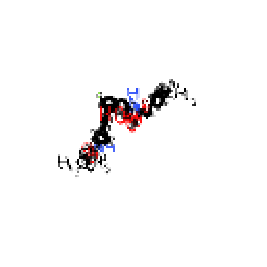 Cc1ccc(-c2ccc(C(=O)NC(Cc3cc(F)cc(C#Cc4ccc(NC(=O)OC(C)(C)C)cc4)c3)C(=O)O)o2)cc1